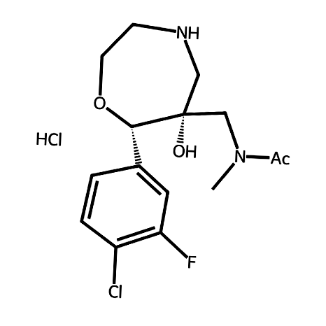 CC(=O)N(C)C[C@]1(O)CNCCO[C@H]1c1ccc(Cl)c(F)c1.Cl